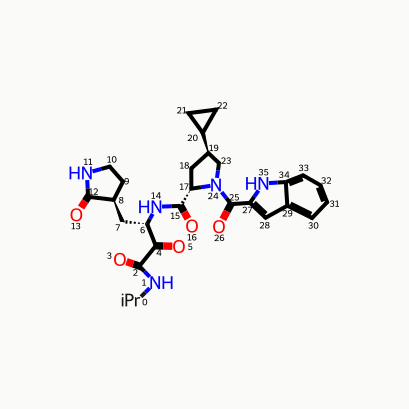 CC(C)NC(=O)C(=O)[C@H](C[C@@H]1CCNC1=O)NC(=O)[C@@H]1C[C@@H](C2CC2)CN1C(=O)c1cc2ccccc2[nH]1